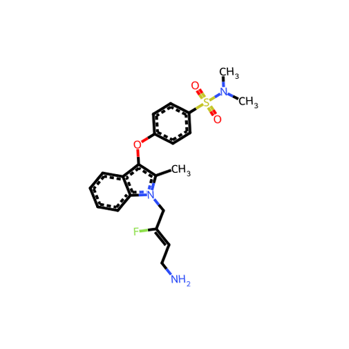 Cc1c(Oc2ccc(S(=O)(=O)N(C)C)cc2)c2ccccc2n1CC(F)=CCN